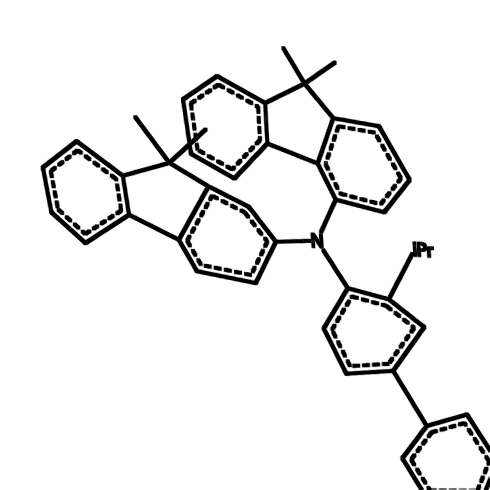 CC(C)c1cc(-c2ccccc2)ccc1N(c1ccc2c(c1)C(C)(C)c1ccccc1-2)c1cccc2c1-c1ccccc1C2(C)C